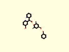 Cc1cc(C(=O)OCc2ccccc2)cc(C)c1OC(=O)c1c2ccccc2nc2ccc(C=O)cc12